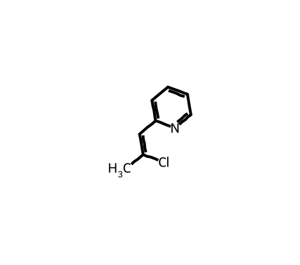 C/C(Cl)=C/c1ccccn1